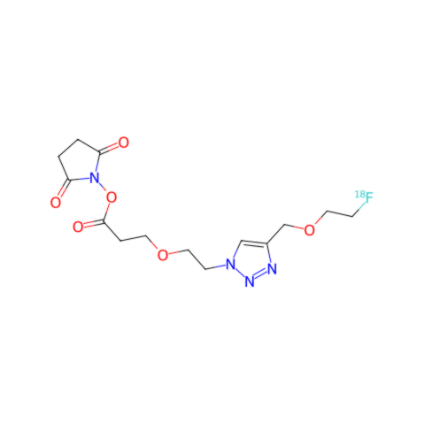 O=C(CCOCCn1cc(COCC[18F])nn1)ON1C(=O)CCC1=O